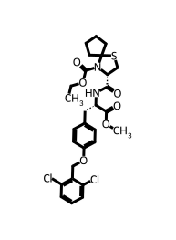 CCOC(=O)N1[C@@H](C(=O)N[C@@H](Cc2ccc(OCc3c(Cl)cccc3Cl)cc2)C(=O)OC)CSC12CCCC2